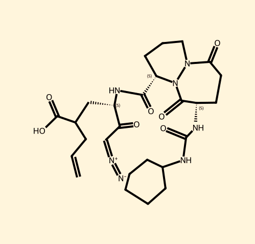 C=CCC(C[C@H](NC(=O)[C@@H]1CCCN2C(=O)CC[C@H](NC(=O)NC3CCCCC3)C(=O)N12)C(=O)C=[N+]=[N-])C(=O)O